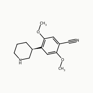 COc1cc([C@@H]2CCCNC2)c(OC)cc1C#N